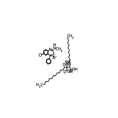 CCCCCCCCCCCCCC(C(=O)O)C(CCCCCCCCCCCCC)(C(=O)O)S(=O)(=O)O.CNC1=Nc2ccc(Cl)cc2C(c2ccccc2)=[N+]([O-])C1